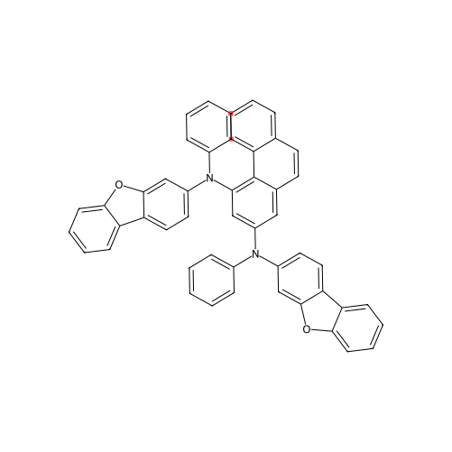 c1ccc(N(c2cc(N(c3ccccc3)c3ccc4c(c3)oc3ccccc34)c3c(ccc4ccccc43)c2)c2ccc3c(c2)oc2ccccc23)cc1